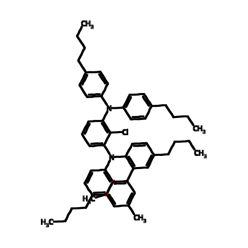 CCCCc1ccc(N(c2ccc(CCCC)cc2)c2cccc(N(c3ccc(CCCC)cc3)c3ccc(CCCC)cc3-c3cc(C)cc(C)c3)c2Cl)cc1